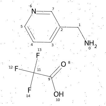 NCc1cccnc1.O=C(O)C(F)(F)F